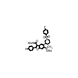 CNC(=O)c1c(-c2ccc(F)cc2)oc2cc(N(C)SC)c([C@@H]3CCCN(S(=O)(=O)c4ccc(F)cc4)C3)cc12